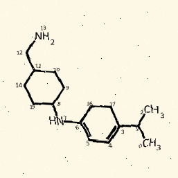 CC(C)C1=CC=C(NC2CCC(CN)CC2)CC1